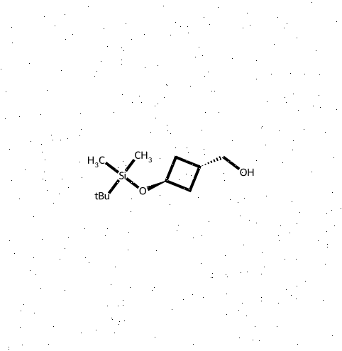 CC(C)(C)[Si](C)(C)O[C@H]1C[C@H](CO)C1